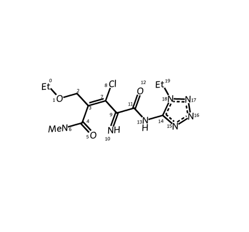 CCOC/C(C(=O)NC)=C(\Cl)C(=N)C(=O)Nc1nnnn1CC